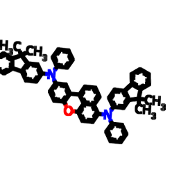 CC1(C)c2ccccc2-c2ccc(N(c3ccccc3)c3ccc4c(c3)-c3cccc5c(N(c6ccccc6)c6ccc7c(c6)C(C)(C)c6ccccc6-7)ccc(c35)O4)cc21